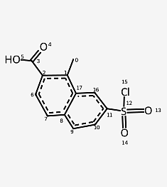 Cc1c(C(=O)O)ccc2ccc(S(=O)(=O)Cl)cc12